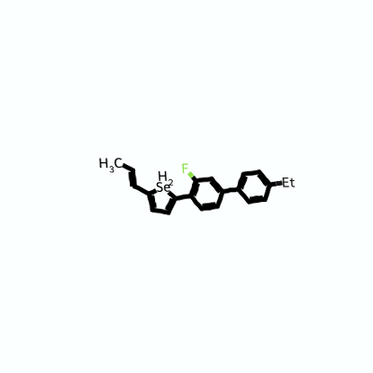 CC=CC1=CC=C(c2ccc(-c3ccc(CC)cc3)cc2F)[SeH2]1